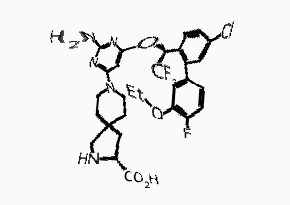 CCOc1cc(-c2cc(Cl)ccc2C(Oc2cc(N3CCC4(CC3)CN[C@H](C(=O)O)C4)nc(N)n2)C(F)(F)F)ccc1F